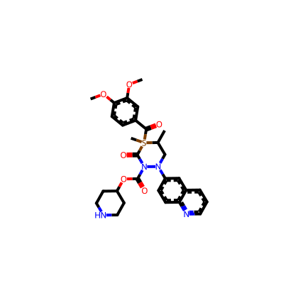 COc1ccc(C(=O)S2(C)C(=O)N(C(=O)OC3CCNCC3)N(c3ccc4ncccc4c3)CC2C)cc1OC